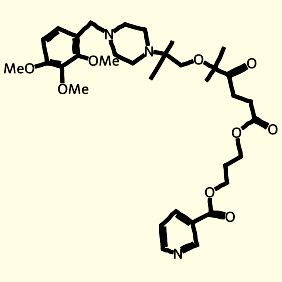 COc1ccc(CN2CCN(C(C)(C)COC(C)(C)C(=O)CCC(=O)OCCCOC(=O)c3cccnc3)CC2)c(OC)c1OC